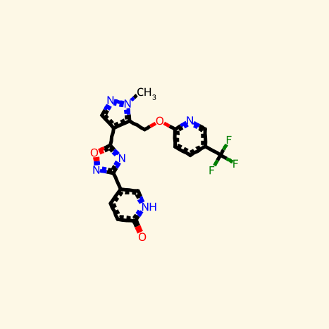 Cn1ncc(-c2nc(-c3ccc(=O)[nH]c3)no2)c1COc1ccc(C(F)(F)F)cn1